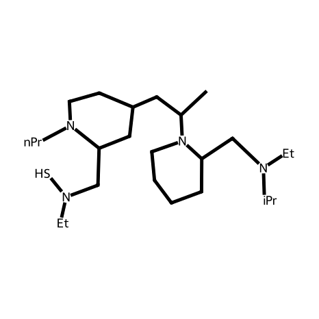 CCCN1CCC(CC(C)N2CCCCC2CN(CC)C(C)C)CC1CN(S)CC